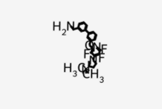 CN(C)[C@@H]1CCN(c2c(F)c(F)nc(Oc3cccc(-c4cccc(CN)c4)c3)c2F)C1